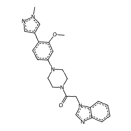 COc1cc(N2CCN(C(=O)Cn3cnc4ccccc43)CC2)ccc1-c1cnn(C)c1